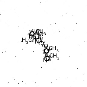 CCN1c2ncc(CCOc3ccc(-c4cnccc4C)cc3C)cc2C(=O)N(C)c2cccnc21